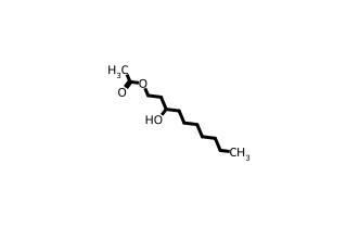 CCCCCCCC(O)CCOC(C)=O